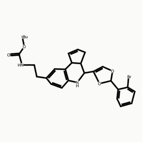 CC(C)(C)OC(=O)NCCc1ccc2c(c1)C1C=CCC1C(C1=COC(c3ccccc3Br)O1)N2